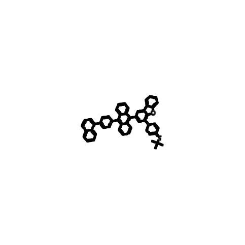 CC(C)(C)SC1=CCC(c2cc(-c3c4ccccc4c(-c4ccc(-c5cccc6ccccc56)cc4)c4ccccc34)cc3c2oc2ccccc23)C=C1